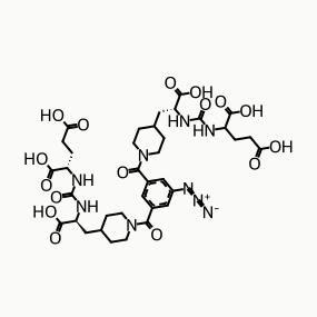 [N-]=[N+]=Nc1cc(C(=O)N2CCC(C[C@H](NC(=O)N[C@@H](CCC(=O)O)C(=O)O)C(=O)O)CC2)cc(C(=O)N2CCC(C[C@@H](NC(=O)NC(CCC(=O)O)C(=O)O)C(=O)O)CC2)c1